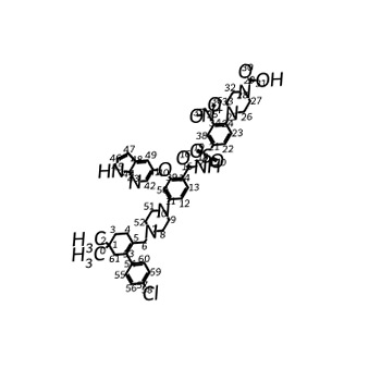 CC1(C)CCC(CN2CCN(c3ccc(C(=O)NS(=O)(=O)c4ccc(N5CCN(C(=O)O)CC5)c([N+](=O)[O-])c4)c(Oc4cnc5[nH]ccc5c4)c3)CC2)=C(c2ccc(Cl)cc2)C1